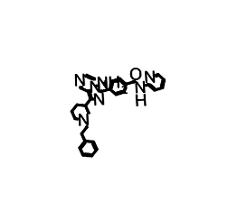 N[N+]12C=CN=CC1=C(C1CCCN(CCc3ccccc3)C1)N=C2c1ccc(C(=O)Nc2ccccn2)cc1